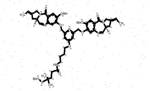 C/C=C1\C[C@H]2C=Nc3cc(OCc4cc(OCCCCNC(=O)CCC(C)(C)SSC)cc(COc5cc6c(cc5OC)C(=O)N5C/C(=C/C)C[C@H]5C=N6)n4)c(OC)cc3C(=O)N2C1